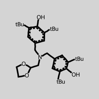 CC(C)(C)c1cc(CN(Cc2cc(C(C)(C)C)c(O)c(C(C)(C)C)c2)CC2OCCO2)cc(C(C)(C)C)c1O